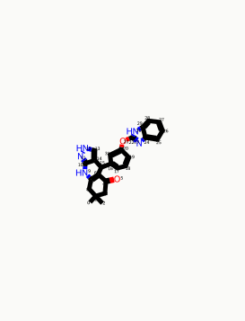 CC1(C)CC(=O)C2=C(C1)Nc1n[nH]cc1C2c1cccc(Oc2nc3ccccc3[nH]2)c1